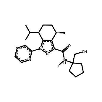 CC(C)C1CC[C@@H](C)c2c(C(=O)[NH+]([O-])C3(CO)CCCC3)nn(-c3cnccn3)c21